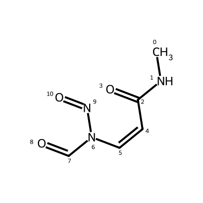 CNC(=O)/C=C\N(C=O)N=O